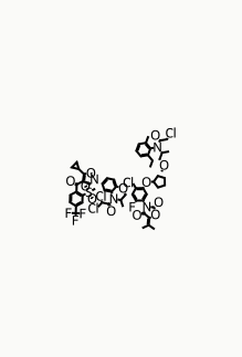 CC(C)=C1OC(=O)N(c2cc(OC3CCCC3)c(Cl)cc2F)C1=O.CC1COc2ccccc2N1C(=O)C(Cl)Cl.CCc1cccc(C)c1N(C(=O)CCl)C(C)COC.CS(=O)(=O)c1cc(C(F)(F)F)ccc1C(=O)c1cnoc1C1CC1